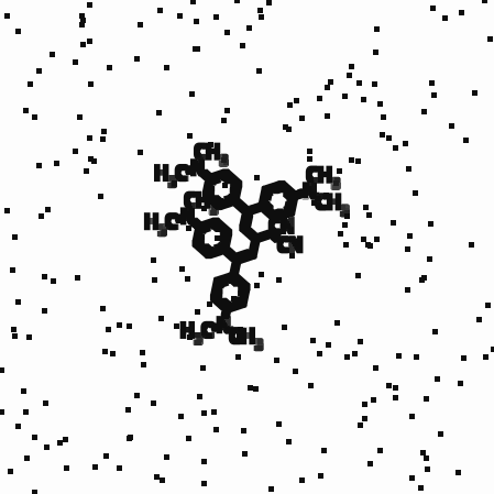 CN(C)c1ccc(C(=CC(C=C(c2ccc(N(C)C)cc2)c2ccc(N(C)C)cc2)C(C#N)C#N)c2ccc(N(C)C)cc2)cc1